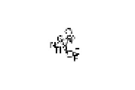 N#CC(=NNc1ccc(F)c(Cl)c1)C(=O)c1noc2ccccc12